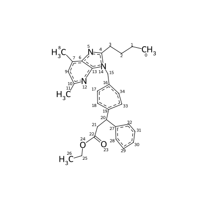 CCCCc1nc2c(C)cc(C)nc2n1Cc1ccc(C(CC(=O)OCC)c2ccccc2)cc1